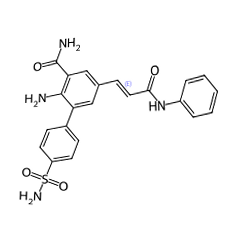 NC(=O)c1cc(/C=C/C(=O)Nc2ccccc2)cc(-c2ccc(S(N)(=O)=O)cc2)c1N